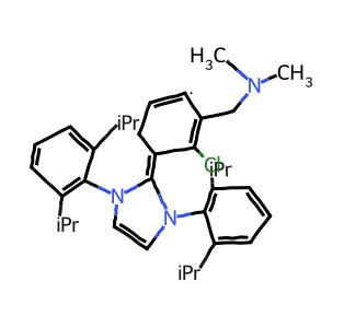 CC(C)c1cccc(C(C)C)c1N1C=CN(c2c(C(C)C)cccc2C(C)C)C1=C1CC=[C]C(CN(C)C)=C1Cl